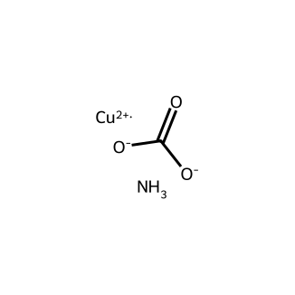 N.O=C([O-])[O-].[Cu+2]